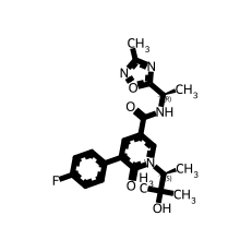 Cc1noc([C@@H](C)NC(=O)c2cc(-c3ccc(F)cc3)c(=O)n([C@@H](C)C(C)(C)O)c2)n1